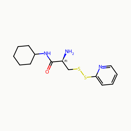 N[C@@H](CSSc1ccccn1)C(=O)NC1CCCCC1